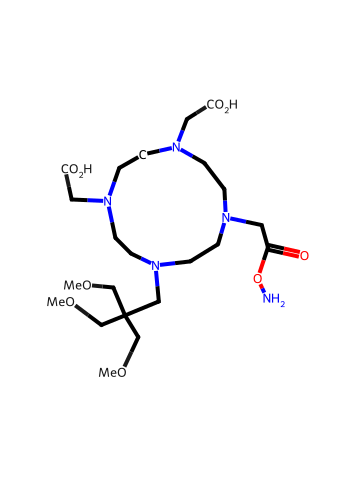 COCC(COC)(COC)CN1CCN(CC(=O)O)CCN(CC(=O)O)CCN(CC(=O)ON)CC1